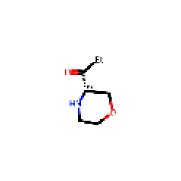 CCC(=O)[C@@H]1COCCN1